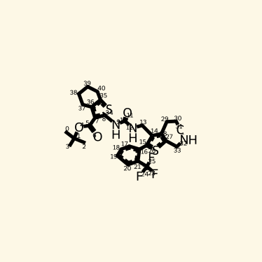 CC(C)(C)OC(=O)c1c(NC(=O)NCc2c(-c3ccccc3C(F)(F)F)sc3c2CCCNC3)sc2c1CCCC2